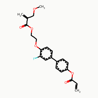 C=CC(=O)Oc1ccc(-c2ccc(OCCOC(=O)C(=C)COC)c(F)c2)cc1